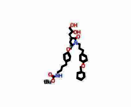 CC(C)(C)OC(=O)NCCCCc1ccc(OC[C@@H]2C[C@@H](CC(O)CO)C(=O)N2CCCc2ccc(OCc3ccccc3)cc2)cc1